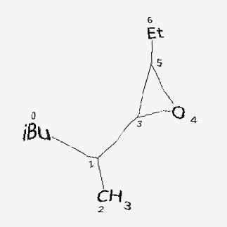 CCC(C)C(C)C1OC1CC